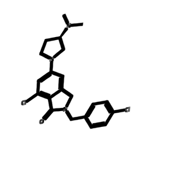 CN(C)[C@@H]1CCN(c2cc(Cl)c3c(c2)CN(Cc2ccc(Cl)cc2)C3=O)C1